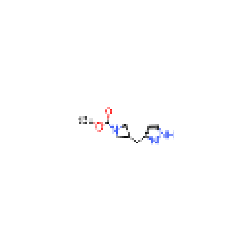 CC(C)(C)OC(=O)N1CC(Cc2cc[nH]n2)C1